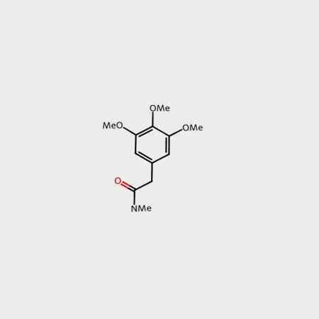 CNC(=O)Cc1cc(OC)c(OC)c(OC)c1